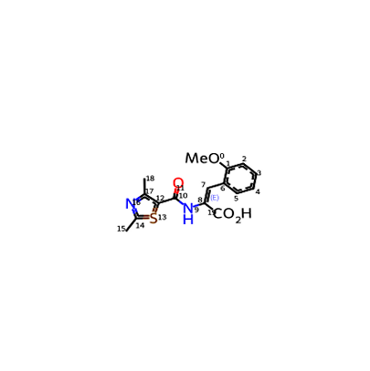 COc1ccccc1/C=C(/NC(=O)c1sc(C)nc1C)C(=O)O